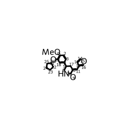 COc1ccc(C2CNC(=O)C(=Cc3ccoc3)C2)cc1OC1CCCC1